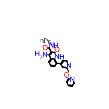 CCCNC(=O)c1c(N)c2cccc(-c3cc(COc4ccccn4)ncc3F)c2[nH]c1=O